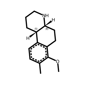 COc1c(C)ccc2c1CC[C@H]1NCCC[C@@H]21